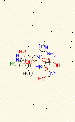 CC(C)(CO)[C@@H](O)C(=O)NCCC(=O)O.C[C@@H](O)[C@H](N)C(=O)O.C[N+](C)(C)CCO.Cc1ncc(C[n+]2csc(CCO)c2C)c(N)n1.Cl